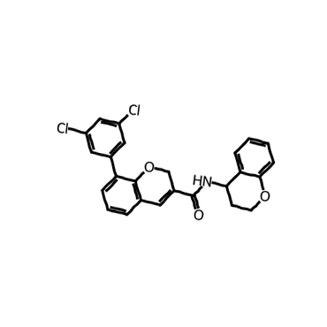 O=C(NC1CCOc2ccccc21)C1=Cc2cccc(-c3cc(Cl)cc(Cl)c3)c2OC1